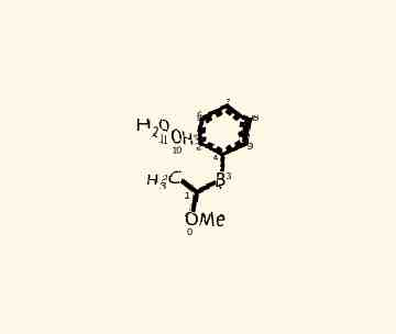 COC(C)[B]c1ccccc1.O.O